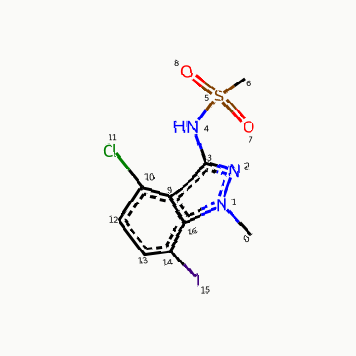 Cn1nc(NS(C)(=O)=O)c2c(Cl)ccc(I)c21